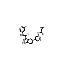 Cc1cc(NC(=O)c2n[nH]c3ccc(-c4cncc(NC(=O)C5CC5)c4)cc23)ccn1